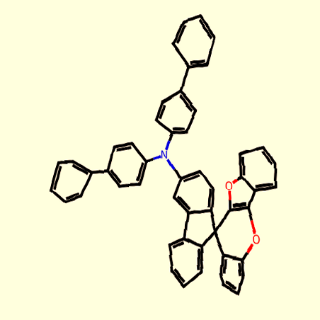 c1ccc(-c2ccc(N(c3ccc(-c4ccccc4)cc3)c3ccc4c(c3)-c3ccccc3C43c4ccccc4Oc4c3oc3ccccc43)cc2)cc1